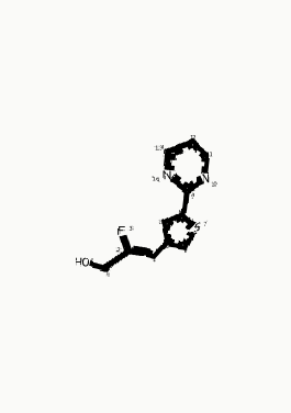 OCC(F)=Cc1csc(-c2ncccn2)c1